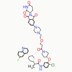 C[C@@H](C(=O)Nc1ccc(Cl)c(OC2CCN(C(=O)CCOCCN3CCN(c4ccc5c(c4)C(=O)N(C4CCC(=O)NC4=O)C5=O)CC3)CC2)c1)[C@H]1CC[C@@H](c2ccnc3ccc(F)cc32)CC1